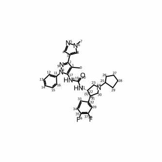 Cc1c(-c2cnn(C)c2)nn(-c2ccccc2)c1NC(=O)N[C@@H]1CN(C2CCCC2)C[C@H]1c1ccc(F)c(F)c1